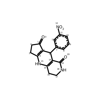 O=C1CCC2=C1C(c1cccc([N+](=O)[O-])c1)C1=C(CCNC1=O)N2